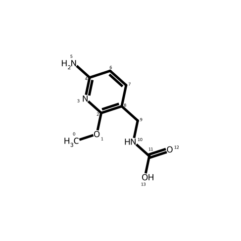 COc1nc(N)ccc1CNC(=O)O